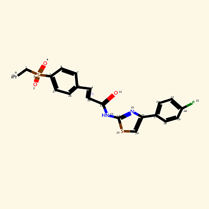 CC(C)CS(=O)(=O)c1ccc(/C=C/C(=O)Nc2nc(-c3ccc(F)cc3)cs2)cc1